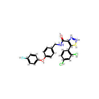 O=C(NCc1ccc(Oc2ccc(F)cc2)cc1)c1nnsc1-c1ccc(Cl)cc1Cl